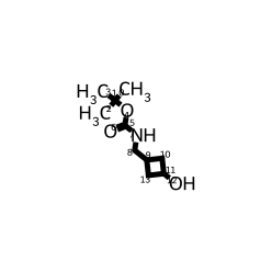 CC(C)(C)OC(=O)NCC1CC(O)C1